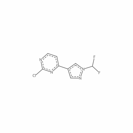 FC(F)n1cc(-c2ccnc(Cl)n2)cn1